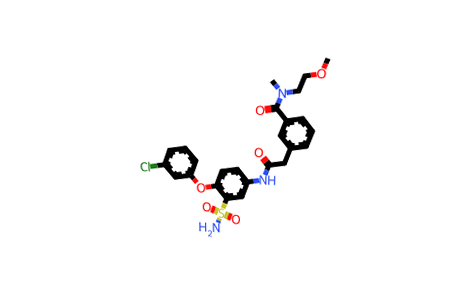 COCCN(C)C(=O)c1cccc(CC(=O)Nc2ccc(Oc3cccc(Cl)c3)c(S(N)(=O)=O)c2)c1